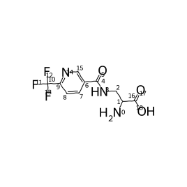 NC(CNC(=O)c1ccc(C(F)(F)F)nc1)C(=O)O